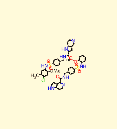 CCCOc1ccccc1NS(=O)(=O)c1ccc(CNC(=O)c2nccc3[nH]ccc23)cc1.COc1cc(Cl)c(C)cc1NS(=O)(=O)c1ccc(CNC(=O)c2cc3cnccc3[nH]2)cc1